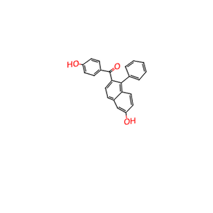 O=C(c1ccc(O)cc1)c1ccc2cc(O)ccc2c1-c1ccccc1